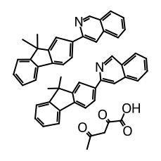 CC(=O)CC(=O)C(=O)O.CC1(C)c2ccccc2-c2ccc(-c3cc4ccccc4cn3)cc21.CC1(C)c2ccccc2-c2ccc(-c3cc4ccccc4cn3)cc21